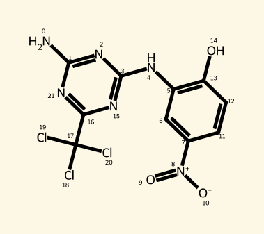 Nc1nc(Nc2cc([N+](=O)[O-])ccc2O)nc(C(Cl)(Cl)Cl)n1